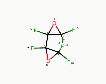 FC1(F)OC1(F)C1(F)OC1(F)F